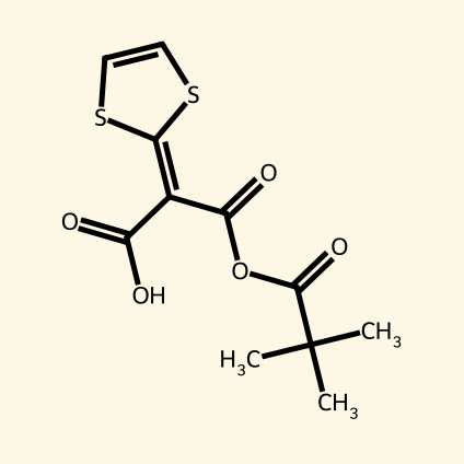 CC(C)(C)C(=O)OC(=O)C(C(=O)O)=C1SC=CS1